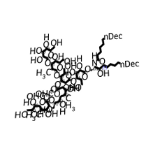 CCCCCCCCCCCCC/C=C/[C@@H](O)[C@H](CO[C@@H]1OC(CO)[C@@H](O[C@@H]2OC(CO)[C@H](O[C@@H]3OC(CO)[C@H](O)[C@H](O[C@@H]4OC(CO)[C@H](O)[C@H](O)C4O)C3C)[C@H](O[C@]3(OC=O)C[C@@H](O)[C@@H](C)C([C@H](O)[C@@H](CO)O[C@]4(OC=O)C[C@@H](O)[C@@H](C)C([C@H](O)[C@H](O)CO)O4)O3)C2O)[C@H](O)C1O)NC(=O)CCCCCCCCCCCCCCC